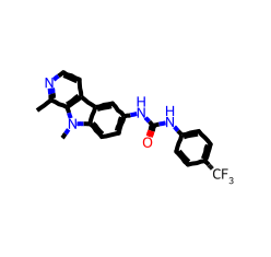 Cc1nccc2c3cc(NC(=O)Nc4ccc(C(F)(F)F)cc4)ccc3n(C)c12